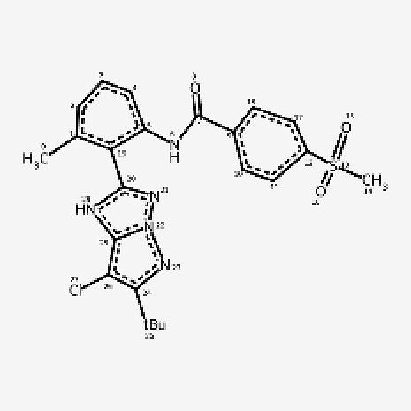 Cc1cccc(NC(=O)c2ccc(S(C)(=O)=O)cc2)c1-c1nn2nc(C(C)(C)C)c(Cl)c2[nH]1